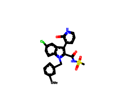 COc1cccc(Cn2c(C(=O)NS(C)(=O)=O)c(-c3ccc[nH]c3=O)c3cc(Cl)ccc32)c1